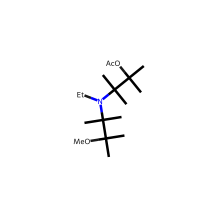 CCN(C(C)(C)C(C)(C)OC)C(C)(C)C(C)(C)OC(C)=O